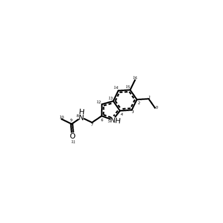 CCc1cc2[nH]c(CNC(C)=O)cc2cc1C